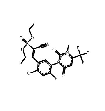 CCOP(=O)(OCC)C(C#N)=Cc1cc(-n2c(=O)cc(C(F)(F)F)n(C)c2=O)c(F)cc1Cl